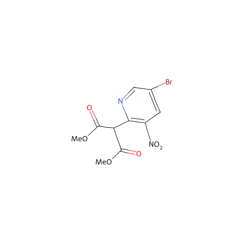 COC(=O)C(C(=O)OC)c1ncc(Br)cc1[N+](=O)[O-]